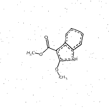 COC(=O)c1c(OC)[nH]c2ccccc12